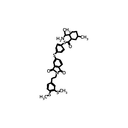 CSc1ccc(CCN2C(=O)c3ccc(Sc4ccc(SC(=O)C5CC(C)CCC5C(C)N)cc4)cc3C2=O)cc1SC